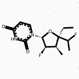 CC[C@@]1(C(C)F)O[C@@H](n2ccc(=O)[nH]c2=O)[C@H](F)[C@@H]1C